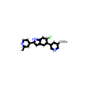 COc1cncc(-c2cc3cc(-c4ccnc(C)c4)[nH]c3cc2Cl)c1